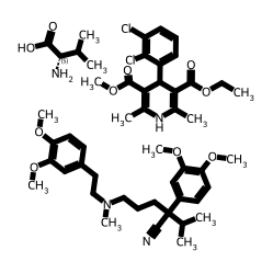 CC(C)[C@H](N)C(=O)O.CCOC(=O)C1=C(C)NC(C)=C(C(=O)OC)C1c1cccc(Cl)c1Cl.COc1ccc(CCN(C)CCCC(C#N)(c2ccc(OC)c(OC)c2)C(C)C)cc1OC